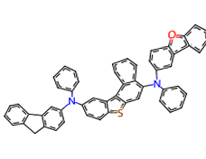 c1ccc(N(c2ccc3c(c2)-c2ccccc2C3)c2ccc3sc4cc(N(c5ccccc5)c5ccc6oc7ccccc7c6c5)c5ccccc5c4c3c2)cc1